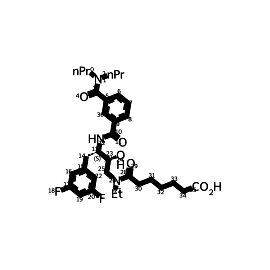 CCCN(CCC)C(=O)c1cccc(C(=O)N[C@@H](Cc2cc(F)cc(F)c2)[C@@H](O)CN(CC)C(=O)CCCCCC(=O)O)c1